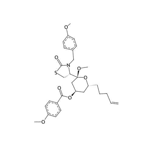 C=CCCC[C@@H]1C[C@@H](OC(=O)c2ccc(OC)cc2)C[C@](OC)([C@@H]2CSC(=O)N2Cc2ccc(OC)cc2)O1